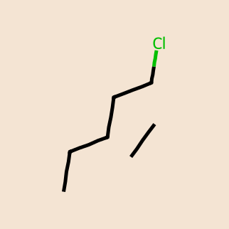 CC.CCCCCCl